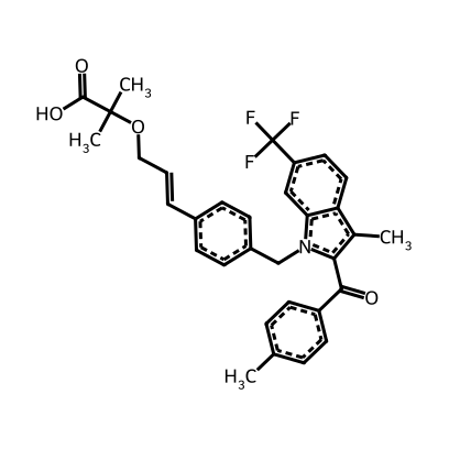 Cc1ccc(C(=O)c2c(C)c3ccc(C(F)(F)F)cc3n2Cc2ccc(C=CCOC(C)(C)C(=O)O)cc2)cc1